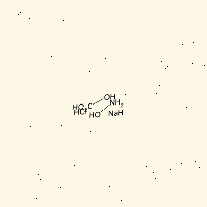 Cl.NO.O=C(O)O.[NaH]